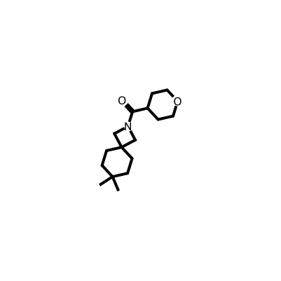 CC1(C)CCC2(CC1)CN(C(=O)C1CCOCC1)C2